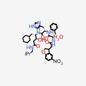 CC(C)CNC(=O)C[C@H](O)[C@H](CC1CCCCC1)NC(=O)[C@H](Cc1c[nH]cn1)NC(=O)[C@H](Cc1ccccc1)NC(=O)CC1COc2ccc([N+](=O)[O-])cc21.O